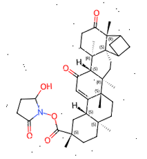 C[C@]1(C(=O)ON2C(=O)CCC2O)CC[C@]2(C)CC[C@]3(C)C(=CC(=O)[C@@H]4[C@@]5(C)CCC(=O)[C@]6(C)C7CC(C7)[C@]65CC[C@]43C)[C@H]2C1